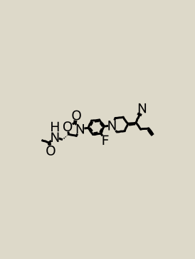 C=CCC(C#N)=C1CCN(c2ccc(N3C[C@H](CNC(C)=O)OC3=O)cc2F)CC1